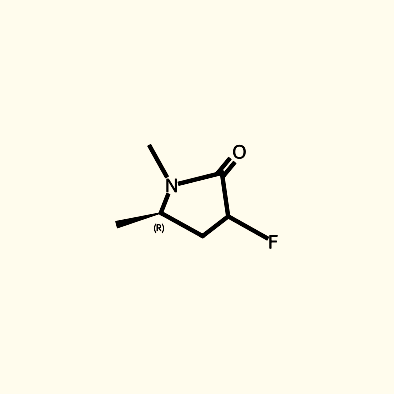 C[C@@H]1CC(F)C(=O)N1C